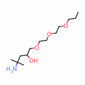 CCCOCCOCCOCC(O)CC(C)(C)N